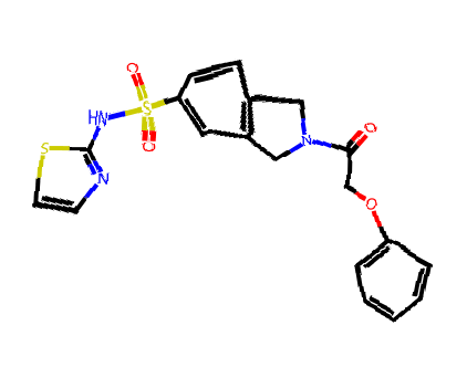 O=C(COc1ccccc1)N1Cc2ccc(S(=O)(=O)Nc3nccs3)cc2C1